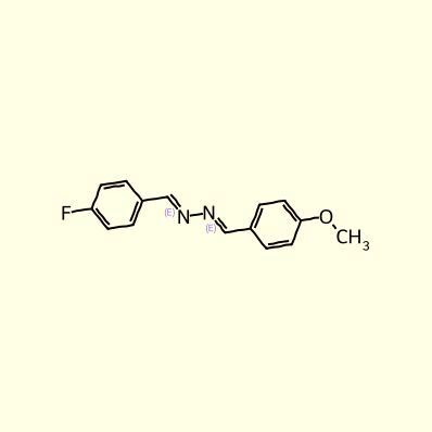 COc1ccc(/C=N/N=C/c2ccc(F)cc2)cc1